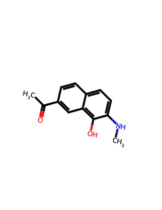 CNc1ccc2ccc(C(C)=O)cc2c1O